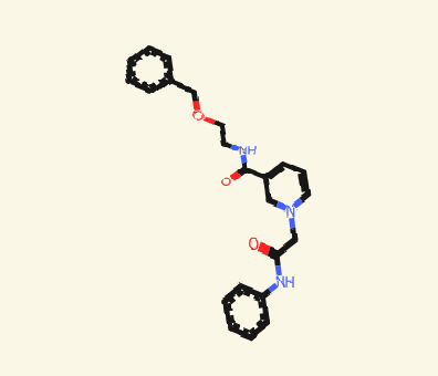 O=C(CN1C=CC=C(C(=O)NCCOCc2ccccc2)C1)Nc1ccccc1